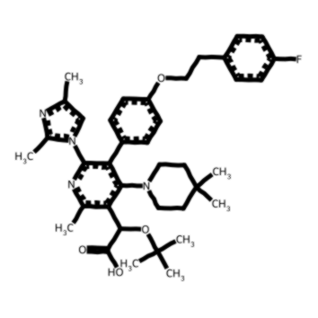 Cc1cn(-c2nc(C)c(C(OC(C)(C)C)C(=O)O)c(N3CCC(C)(C)CC3)c2-c2ccc(OCCc3ccc(F)cc3)cc2)c(C)n1